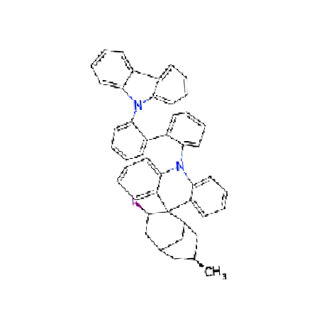 C[C@H]1CC2CC(C1)C1(c3ccccc3N(c3ccccc3-c3ccccc3-n3c4ccccc4c4ccccc43)c3ccccc31)[C@H](I)C2